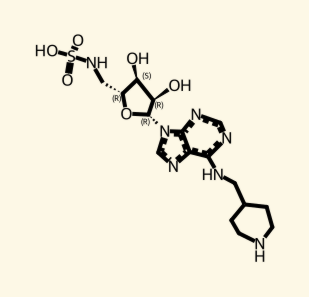 O=S(=O)(O)NC[C@H]1O[C@@H](n2cnc3c(NCC4CCNCC4)ncnc32)[C@H](O)[C@@H]1O